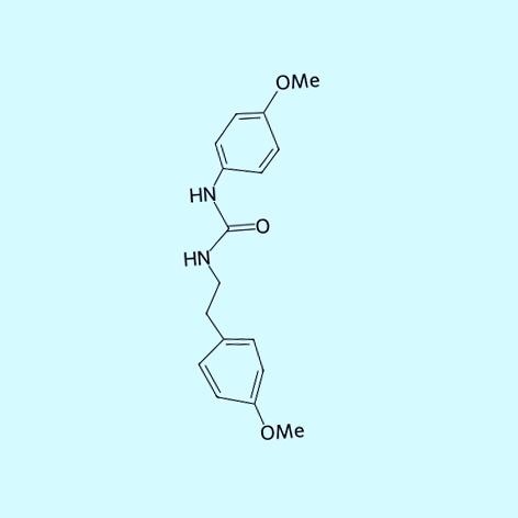 COc1ccc(CCNC(=O)Nc2ccc(OC)cc2)cc1